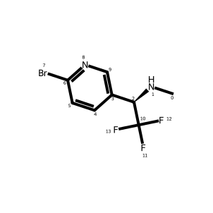 CN[C@H](c1ccc(Br)nc1)C(F)(F)F